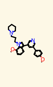 COc1ccc(-c2cncc(-c3cn(CCCN4CCCCC4)c4c(OC)cccc34)c2)cc1